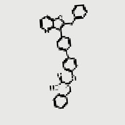 O=C(O)[C@H](Cc1ccccc1)Oc1ccc(-c2ccc(-c3c(Cc4ccccc4)oc4cccnc34)cc2)cc1